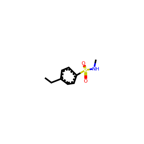 CCc1ccc(S(=O)(=O)NC)cc1